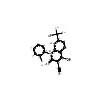 N#Cc1c(O)c2ccc(C(F)(F)F)nc2n(-c2ccccc2Cl)c1=O